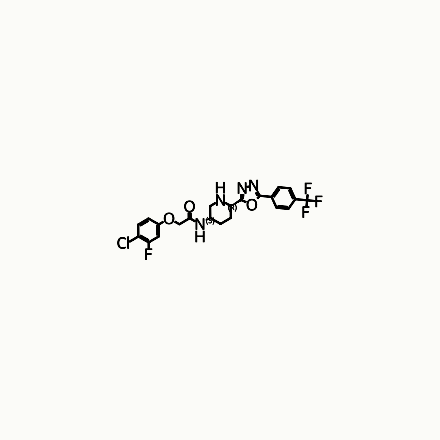 O=C(COc1ccc(Cl)c(F)c1)N[C@H]1CC[C@H](c2nnc(-c3ccc(C(F)(F)F)cc3)o2)NC1